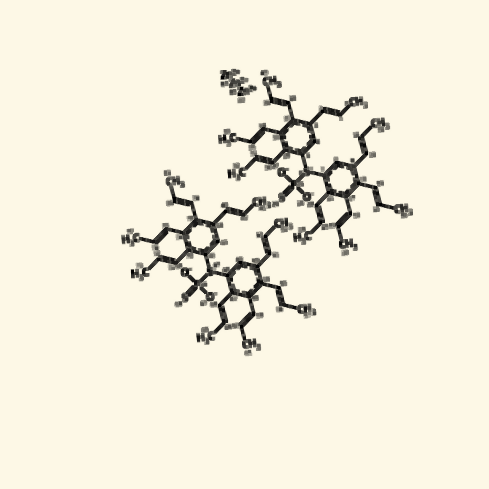 CC=Cc1cc([S-](c2cc(C=CC)c(C=CC)c(C=CC)c2C=CC)P([O-])([O-])=S)c(C=CC)c(C=CC)c1C=CC.CC=Cc1cc([S-](c2cc(C=CC)c(C=CC)c(C=CC)c2C=CC)P([O-])([O-])=S)c(C=CC)c(C=CC)c1C=CC.[Zn+2].[Zn+2].[Zn+2]